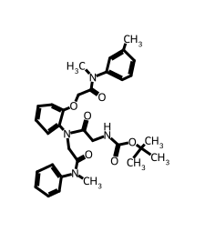 Cc1cccc(N(C)C(=O)COc2ccccc2N(CC(=O)N(C)c2ccccc2)C(=O)CNC(=O)OC(C)(C)C)c1